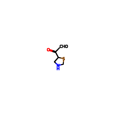 O=CC(=O)C1CNCS1